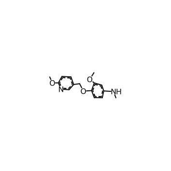 CNc1ccc(OCc2ccc(OC)nc2)c(OC)c1